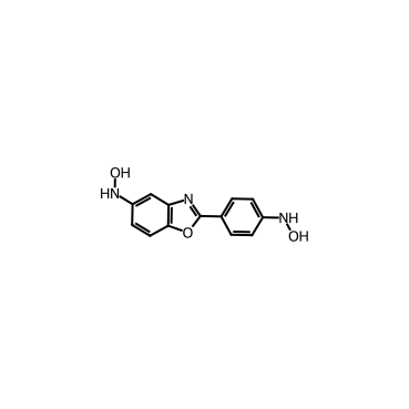 ONc1ccc(-c2nc3cc(NO)ccc3o2)cc1